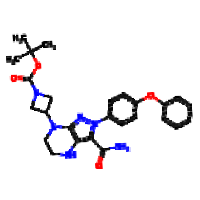 CC(C)(C)OC(=O)N1CC(N2CCNc3c2nn(-c2ccc(Oc4ccccc4)cc2)c3C(N)=O)C1